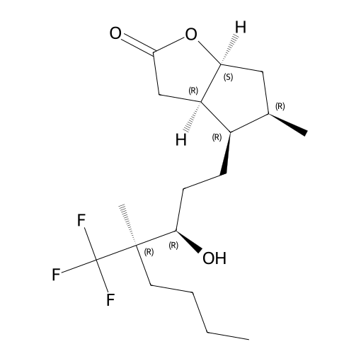 CCCC[C@](C)([C@H](O)CC[C@H]1[C@H]2CC(=O)O[C@H]2C[C@H]1C)C(F)(F)F